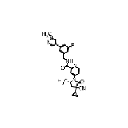 C[C@H]1C[C@@](C#N)(C2CC2)C(=O)N1c1ccnc(C(=O)NCc2cc(F)cc(-c3cnn(C)c3)c2)c1